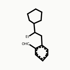 CCC(Cc1ccccc1C=O)C1CCCCC1